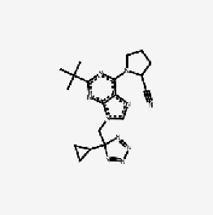 CC(C)(C)c1nc(N2CCCC2C#N)c2ncn(CC3(C4CC4)N=NN=N3)c2n1